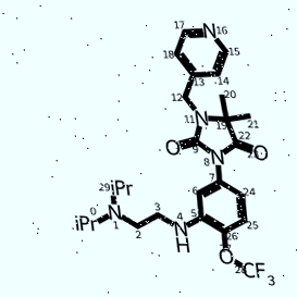 CC(C)N(CCNc1cc(N2C(=O)N(Cc3ccncc3)C(C)(C)C2=O)ccc1OC(F)(F)F)C(C)C